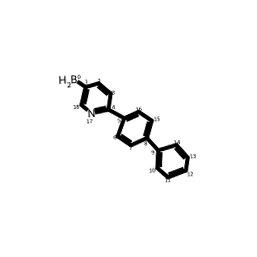 Bc1ccc(-c2ccc(-c3ccccc3)cc2)nc1